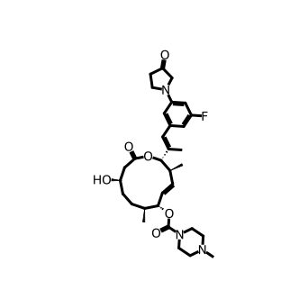 C/C(=C\c1cc(F)cc(N2CCC(=O)C2)c1)[C@H]1OC(=O)C[C@H](O)CC[C@H](C)[C@@H](OC(=O)N2CCN(C)CC2)/C=C/[C@@H]1C